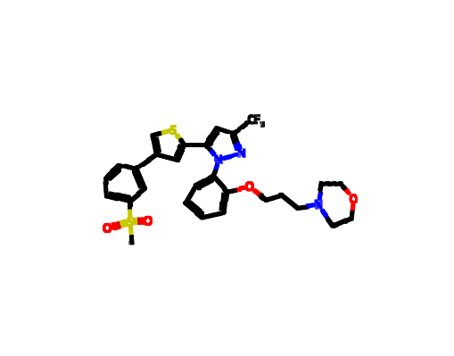 CS(=O)(=O)c1cccc(-c2csc(-c3cc(C(F)(F)F)nn3-c3ccccc3OCCCN3CCOCC3)c2)c1